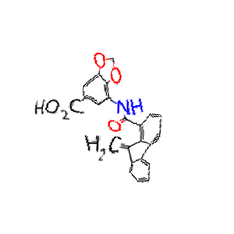 C=C1c2ccccc2-c2cccc(C(=O)Nc3cc(C(=O)O)cc4c3OCO4)c21